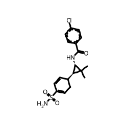 CC1(C)[C@@H](NC(=O)c2ccc(Cl)cc2)[C@@H]1C1C=CC(S(N)(=O)=O)=CC1